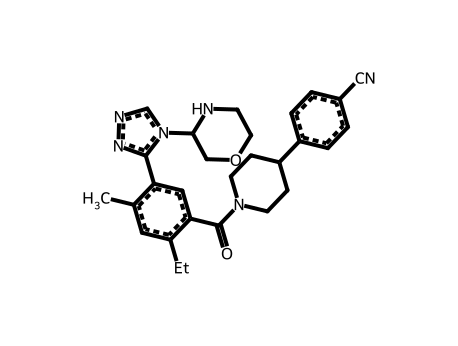 CCc1cc(C)c(-c2nncn2C2COCCN2)cc1C(=O)N1CCC(c2ccc(C#N)cc2)CC1